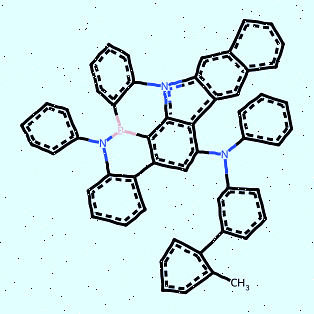 Cc1ccccc1-c1cccc(N(c2ccccc2)c2cc3c4c5c2c2cc6ccccc6cc2n5-c2ccccc2B4N(c2ccccc2)c2ccccc2-3)c1